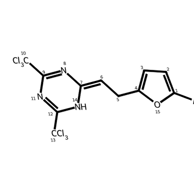 CC(=O)c1ccc(CC=C2N=C(C(Cl)(Cl)Cl)N=C(C(Cl)(Cl)Cl)N2)o1